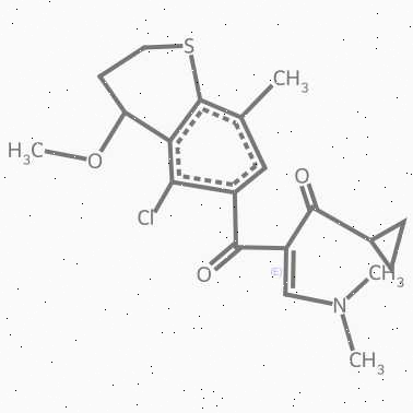 COC1CCSc2c(C)cc(C(=O)/C(=C/N(C)C)C(=O)C3CC3)c(Cl)c21